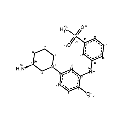 [CH2]c1cnc(N2CCC[C@H](N)C2)nc1Nc1cccc(S(C)(=O)=O)c1